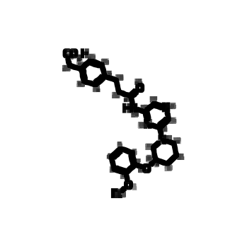 CCOc1ccccc1O[C@@H]1CCCN(c2cncc(NC(=O)CCc3ccc(CC(=O)O)cc3)n2)C1